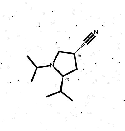 CC(C)[C@@H]1C[C@@H](C#N)CN1C(C)C